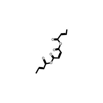 C/C=C/C(=O)OC(=O)/C=C\C(=O)OC(=O)/C=C/C